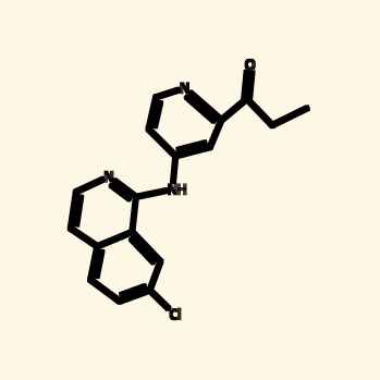 CCC(=O)c1cc(Nc2nccc3ccc(Cl)cc23)ccn1